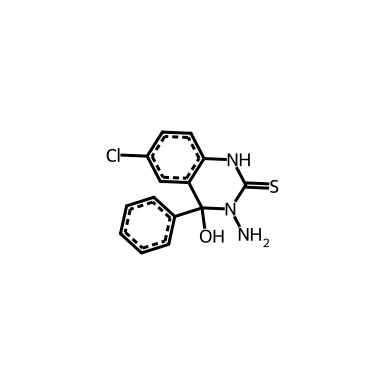 NN1C(=S)Nc2ccc(Cl)cc2C1(O)c1ccccc1